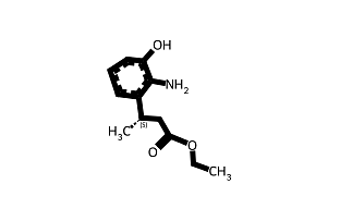 CCOC(=O)C[C@H](C)c1cccc(O)c1N